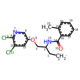 [CH2]CC(COc1cnc(Cl)c(Cl)c1)NC(=O)c1ccccc1C